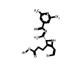 CC/C=C\C1=C(CCC(=O)OC(C)C)[C@H](/C(N)=N/C(=N)c2cc(C(F)(F)F)nc(C(F)(F)F)c2)N1